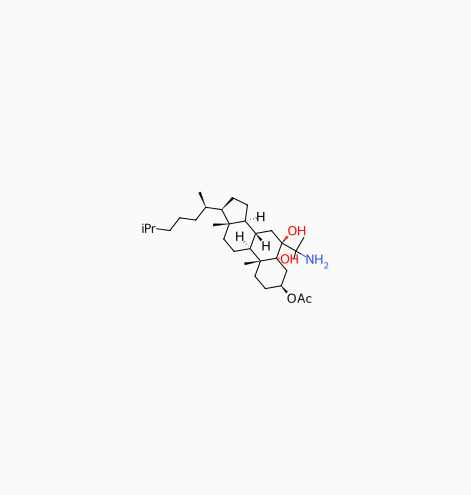 CC(=O)O[C@H]1CC[C@]2(C)[C@H]3CC[C@]4(C)[C@@H]([C@H](C)CCCC(C)C)CC[C@H]4[C@@H]3C[C@](O)(C(C)(C)N)[C@@]2(O)C1